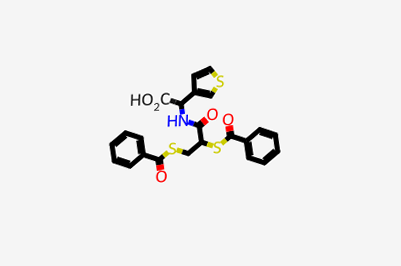 O=C(SCC(SC(=O)c1ccccc1)C(=O)NC(C(=O)O)c1ccsc1)c1ccccc1